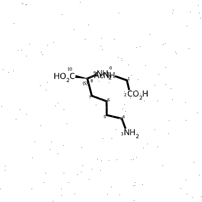 CC(=O)NCC(=O)O.NCCCC[C@H](N)C(=O)O